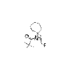 CC(C)(C)C(=O)NC1(CCF)CCCCC1